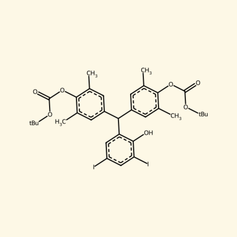 Cc1cc(C(c2cc(C)c(OC(=O)OC(C)(C)C)c(C)c2)c2cc(I)cc(I)c2O)cc(C)c1OC(=O)OC(C)(C)C